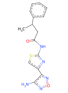 CC(CC(=O)Nc1nc(-c2nonc2N)cs1)c1ccccc1